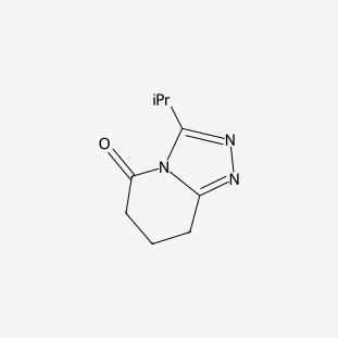 CC(C)c1nnc2n1C(=O)CCC2